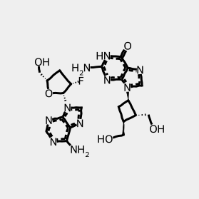 Nc1nc2c(ncn2[C@@H]2C[C@H](CO)[C@H]2CO)c(=O)[nH]1.Nc1ncnc2c1ncn2[C@@H]1O[C@H](CO)C[C@@H]1F